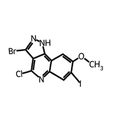 COc1cc2c(cc1I)nc(Cl)c1c(Br)n[nH]c12